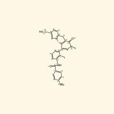 Cc1c(NC(=O)c2ccc(C(C)(C)C)cc2)cccc1-c1cn(C)c(=O)c(Cc2ccc(C(=O)O)cn2)n1